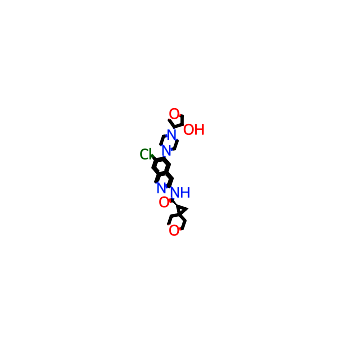 O=C(Nc1cc2cc(N3CCN([C@@H]4COC[C@@H]4O)CC3)c(Cl)cc2cn1)[C@H]1CC12CCOCC2